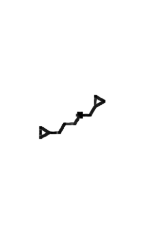 C(C[N]CC1CC1)CC1CC1